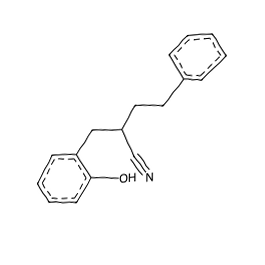 N#CC(CCc1ccccc1)Cc1ccccc1O